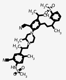 Cc1cc(NS(C)(=O)=O)c(C#N)cc1C(C)CN1CCN(c2cc(CCC(C)c3cccc(S(C)(=O)=O)c3)c(C(C)C)cc2C#N)CC1C